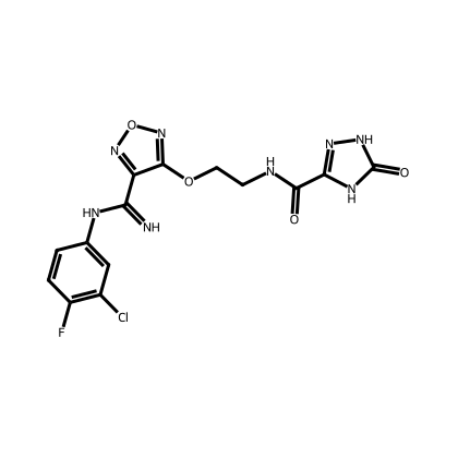 N=C(Nc1ccc(F)c(Cl)c1)c1nonc1OCCNC(=O)c1n[nH]c(=O)[nH]1